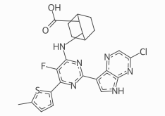 Cc1ccc(-c2nc(-c3c[nH]c4nc(Cl)cnc34)nc(NC3C4CCC(CC4)C3C(=O)O)c2F)s1